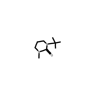 CN1CCCN(C(C)(C)C)C1=O